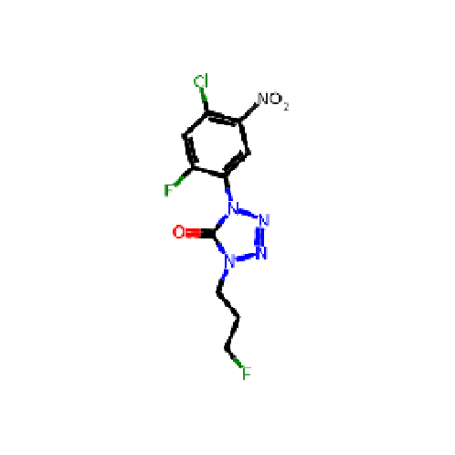 O=c1n(CCCF)nnn1-c1cc([N+](=O)[O-])c(Cl)cc1F